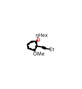 CCC#Cc1c(OC)cccc1OCCCCCC